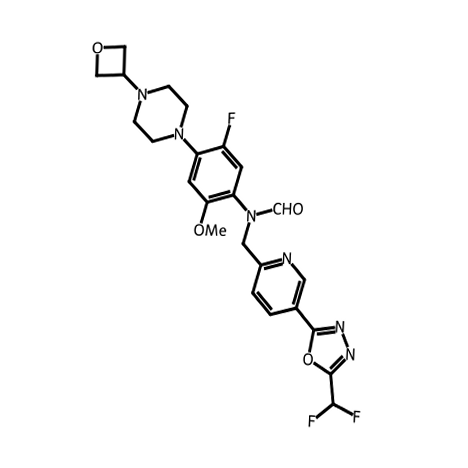 COc1cc(N2CCN(C3COC3)CC2)c(F)cc1N(C=O)Cc1ccc(-c2nnc(C(F)F)o2)cn1